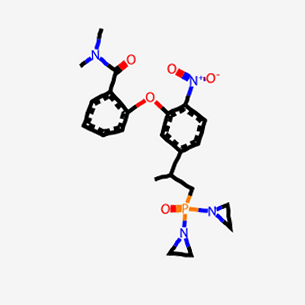 CC(CP(=O)(N1CC1)N1CC1)c1ccc([N+](=O)[O-])c(Oc2ccccc2C(=O)N(C)C)c1